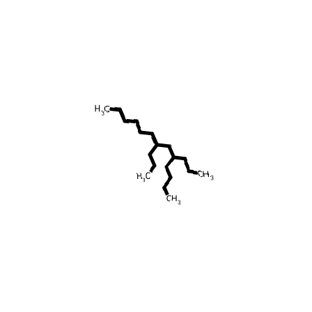 CCCCCCC([CH]C(CCC)CCCC)CCC